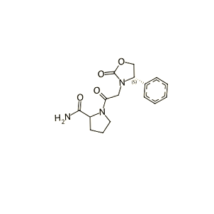 NC(=O)C1CCCN1C(=O)CN1C(=O)OC[C@@H]1c1ccccc1